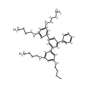 CCCCOc1cc(OCCCN)cc(-c2cc(-c3ccccc3)cc(-c3cc(OCCCN)cc(OCCCN)c3)c2)c1